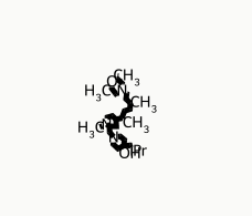 CC(C)CC1(O)CCN(CC2CC(C(C)CCC(C)CCN3C[C@@H](C)O[C@@H](C)C3)CCN2C)CC1